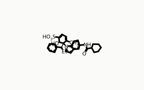 CCC(c1ccccc1)[C@]1(n2ccc3cc(NC(=O)C4CCCCC4)ccc32)C(C)=CC=C(S(=O)(=O)O)[C@H]1O